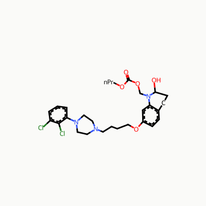 CCCOC(=O)OCN1c2cc(OCCCCN3CCN(c4cccc(Cl)c4Cl)CC3)ccc2CCC1O